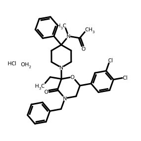 CCC1(N2CCC(c3ccccc3)(N(C)C(C)=O)CC2)OC(c2ccc(Cl)c(Cl)c2)CN(Cc2ccccc2)C1=O.Cl.O